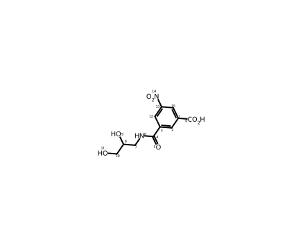 O=C(O)c1cc(C(=O)NCC(O)CO)cc([N+](=O)[O-])c1